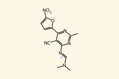 Cc1nc(/N=C/N(C)C)c(C#N)c(-c2ccc([N+](=O)[O-])o2)n1